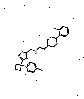 Cc1ccccc1C1CCN(CCNCc2nc(C3(c4ccc(Cl)cc4)CCC3)no2)CC1